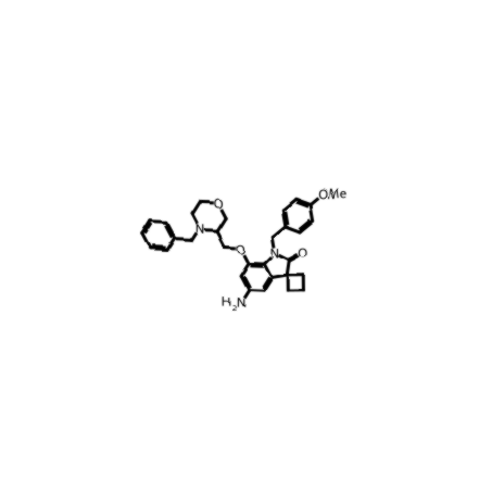 COc1ccc(CN2C(=O)C3(CCC3)c3cc(N)cc(OCC4COCCN4Cc4ccccc4)c32)cc1